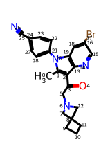 Cc1c(C(=O)CN2CC3(CCC3)C2)c2ncc(Br)cc2n1-c1ccc(C#N)cc1